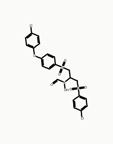 O=CN(O)C(CS(=O)(=O)c1ccc(Cl)cc1)CS(=O)(=O)c1ccc(Oc2ccc(Cl)cc2)cc1